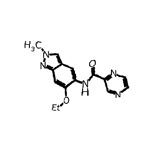 CCOc1cc2nn(C)cc2cc1NC(=O)c1cnccn1